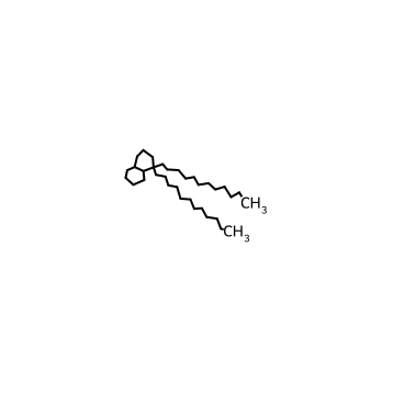 CCCCCCCCCCCCC1(CCCCCCCCCCCC)CCCC2CCCCC21